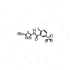 CC(C)(C)c1nnc(NC(=O)c2cc(S(=O)(=O)Cl)ccc2I)s1